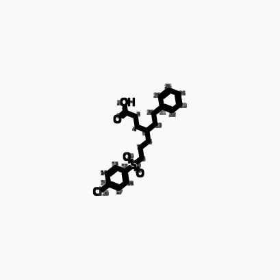 O=C(O)CCC(CCCS(=O)(=O)c1ccc(Cl)cc1)CCc1ccccc1